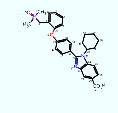 CP(C)(=O)Cc1ccccc1Oc1ccc(-c2nc3cc(C(=O)O)ccc3n2C2CCCCC2)cc1